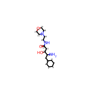 NC(CC1CCCCC1)[C@@H](O)CC(=O)NCCN1CCOCC1